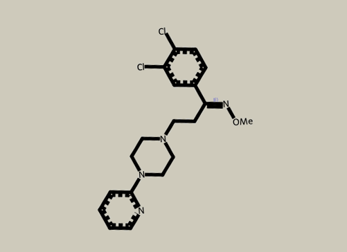 CO/N=C(\CCN1CCN(c2ccccn2)CC1)c1ccc(Cl)c(Cl)c1